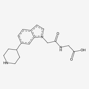 O=C(O)CNC(=O)Cn1ccc2ccc(C3CCNCC3)cc21